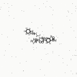 NNC(=O)[C@H](CCCNCc1ccccc1)NC(=O)c1ccc2c(c1)COB2